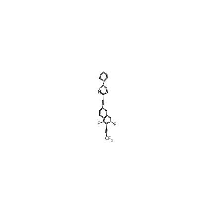 Fc1cc2cc(C#Cc3ccc(-c4ccccc4)cn3)ccc2c(F)c1C#CC(F)(F)F